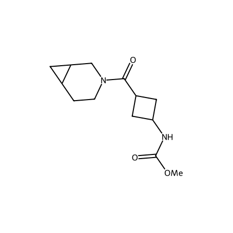 COC(=O)NC1CC(C(=O)N2CCC3CC3C2)C1